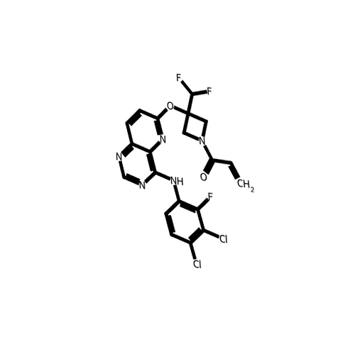 C=CC(=O)N1CC(Oc2ccc3ncnc(Nc4ccc(Cl)c(Cl)c4F)c3n2)(C(F)F)C1